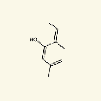 C=C(C)/C=C(O)\C(C)=C/C